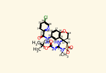 CN1/C(=N/C(=O)OC(C)(C)C)N[C@@]2(CCOc3ccc(NC(=O)c4ccc(Cl)cn4)cc32)CS1(=O)=O